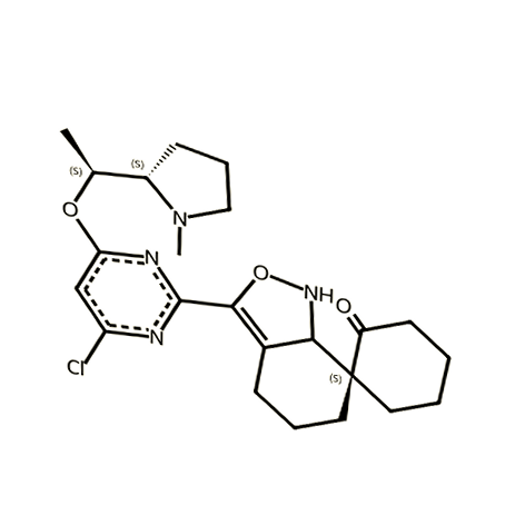 C[C@H](Oc1cc(Cl)nc(C2=C3CCC[C@@]4(CCCCC4=O)C3NO2)n1)[C@@H]1CCCN1C